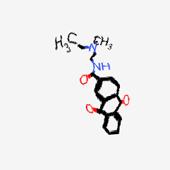 CCN(C)CCNC(=O)c1ccc2c(c1)C(=O)c1ccccc1C2=O